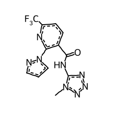 Cn1nnnc1NC(=O)c1ccc(C(F)(F)F)nc1-n1cccn1